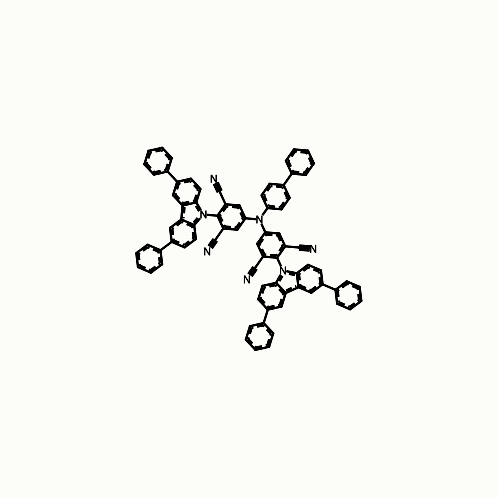 N#Cc1cc(N(c2ccc(-c3ccccc3)cc2)c2cc(C#N)c(-n3c4ccc(-c5ccccc5)cc4c4cc(-c5ccccc5)ccc43)c(C#N)c2)cc(C#N)c1-n1c2ccc(-c3ccccc3)cc2c2cc(-c3ccccc3)ccc21